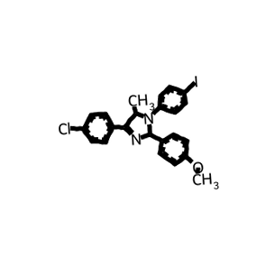 COc1ccc(C2N=C(c3ccc(Cl)cc3)C(C)N2c2ccc(I)cc2)cc1